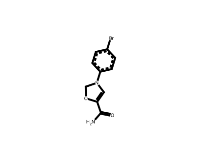 NC(=O)C1=CN(c2ccc(Br)cc2)CO1